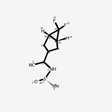 CC(C)(C)[S@+]([O-])NC(C#N)C1C[C@@H]2[C@H](C1)C2(F)F